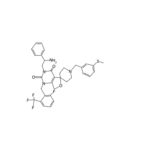 CSc1cccc(CN2CCC3(CC2)OCc2c3c(=O)n(CC(N)c3ccccc3)c(=O)n2Cc2c(F)cccc2C(F)(F)F)c1